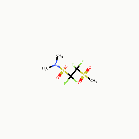 CN(C)S(=O)(=O)C(F)(F)C(F)(F)S(C)(=O)=O